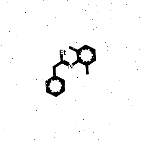 CCC(Cc1ccccc1)=Nc1c(C)cccc1C